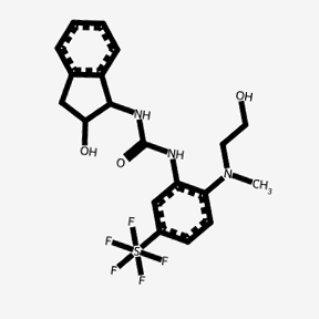 CN(CCO)c1ccc(S(F)(F)(F)(F)F)cc1NC(=O)NC1c2ccccc2CC1O